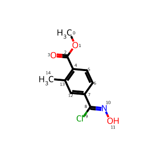 COC(=O)c1ccc(/C(Cl)=N/O)cc1C